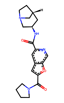 O=C(N[C@@H]1C[C@H]2CCN(C2)C1)c1cc2cc(C(=O)N3CCCC3)oc2cn1